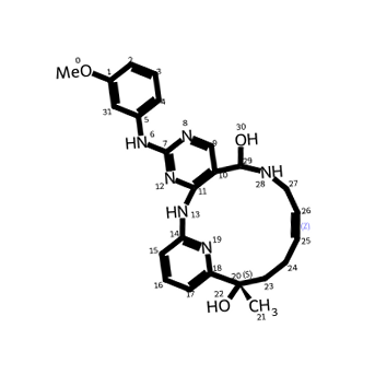 COc1cccc(Nc2ncc3c(n2)Nc2cccc(n2)[C@@](C)(O)CC/C=C\CNC3O)c1